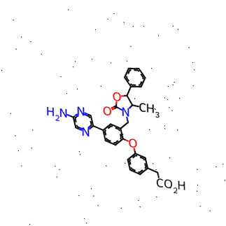 CC1C(c2ccccc2)OC(=O)N1Cc1cc(-c2cnc(N)cn2)ccc1Oc1cccc(CC(=O)O)c1